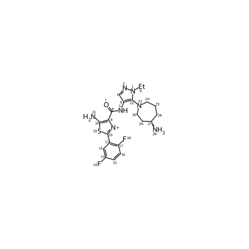 CCn1ncc(NC(=O)c2nc(-c3cc(F)ccc3F)sc2N)c1N1CCC[C@@H](N)CC1